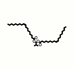 CCCCCCCC/C=C\CCCCCCCC(=O)OC(OC(=O)CCCCCCC/C=C\CCCCCCCC)C(C)C